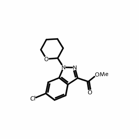 COC(=O)c1nn(C2CCCCO2)c2cc(Cl)ccc12